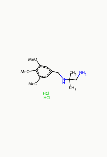 COc1cc(CNC(C)(C)CN)cc(OC)c1OC.Cl.Cl